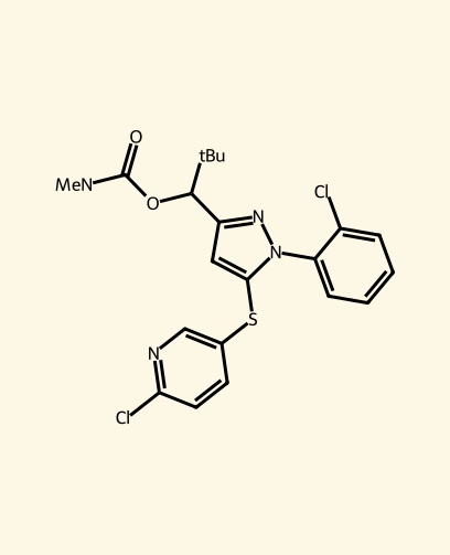 CNC(=O)OC(c1cc(Sc2ccc(Cl)nc2)n(-c2ccccc2Cl)n1)C(C)(C)C